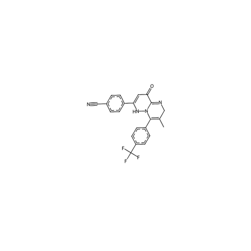 CC1=C(c2ccc(C(F)(F)F)cc2)N2NC(c3ccc(C#N)cc3)=CC(=O)C2=NC1